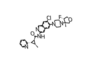 C[C@@H]1[C@H](C(=O)Nc2cc3cc(N4CCN([C@@]5(C)COC[C@H]5F)CC4)c(Cl)cc3cn2)[C@H]1c1ccccn1